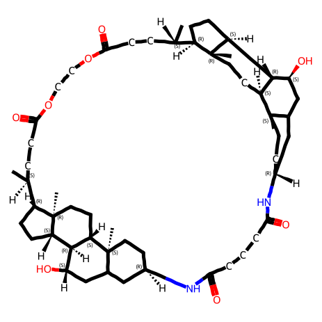 C[C@H]1CCC(=O)OCCOC(=O)CC[C@H](C)[C@H]2CC[C@H]3[C@@H]4[C@@H](O)CC5C[C@@H](CC[C@]5(C)[C@H]4CC[C@]23C)NC(=O)CCCC(=O)N[C@@H]2CC[C@@]3(C)C(C2)C[C@H](O)[C@H]2[C@@H]4CC[C@H]1[C@@]4(C)CC[C@@H]23